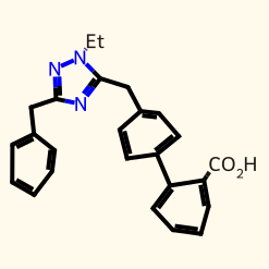 CCn1nc(Cc2ccccc2)nc1Cc1ccc(-c2ccccc2C(=O)O)cc1